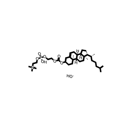 CC(C)CCC[C@@H](C)[C@H]1CC[C@H]2[C@@H]3CC=C4CC(OC(=O)OCCOP(=O)(O)OCC[N+](C)(C)C)CC[C@]4(C)[C@H]3CC[C@]12C.[OH-]